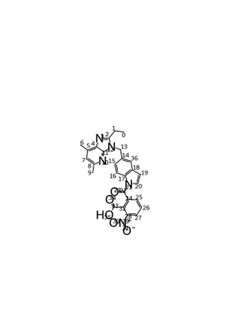 CCc1nc2c(C)cc(C)nc2n1Cc1ccc2c(ccn2C(=O)c2cccc([N+](=O)[O-])c2C(=O)O)c1